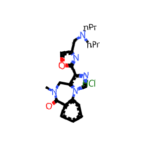 CCCN(CCC)Cc1coc(-c2ncn3c2CN(C)C(=O)c2ccccc2-3)n1.Cl